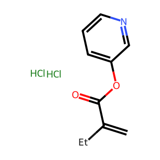 C=C(CC)C(=O)Oc1cccnc1.Cl.Cl